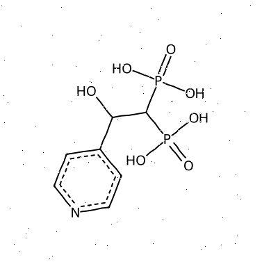 O=P(O)(O)C(C(O)c1ccncc1)P(=O)(O)O